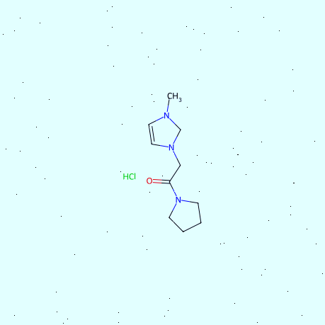 CN1C=CN(CC(=O)N2CCCC2)C1.Cl